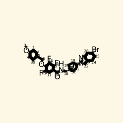 COc1ccc(COc2c(F)cc(C(=O)NC[C@]34CC[C@](n5cc6ccc(Br)cc6n5)(CC3)CC4)c(F)c2F)cc1